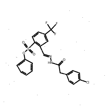 O=C(Cc1ccc(Cl)cc1)N/N=C/c1cc(C(F)(F)F)ccc1S(=O)(=O)Oc1ccccc1